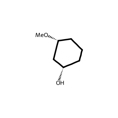 CO[C@@H]1CCC[C@H](O)C1